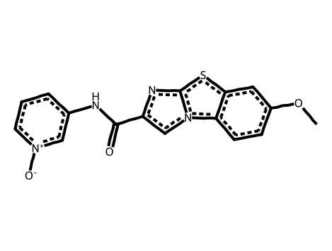 COc1ccc2c(c1)sc1nc(C(=O)Nc3ccc[n+]([O-])c3)cn12